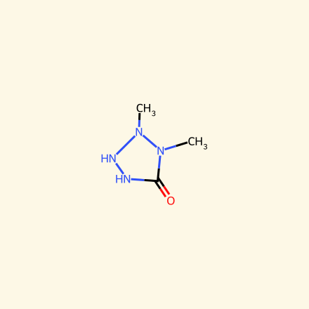 CN1NNC(=O)N1C